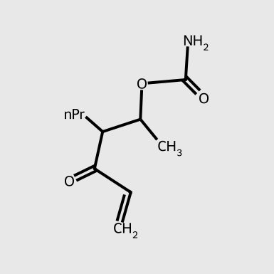 C=CC(=O)C(CCC)C(C)OC(N)=O